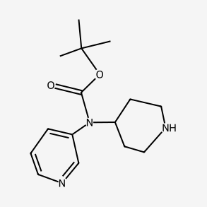 CC(C)(C)OC(=O)N(c1cccnc1)C1CCNCC1